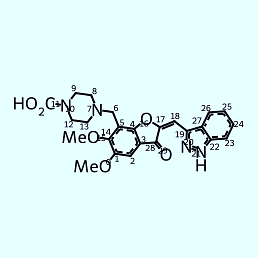 COc1cc2c(c(CN3CCN(C(=O)O)CC3)c1OC)OC(=Cc1n[nH]c3ccccc13)C2=O